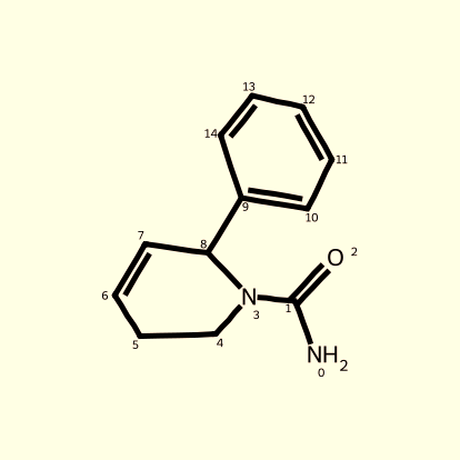 NC(=O)N1CCC=CC1c1ccccc1